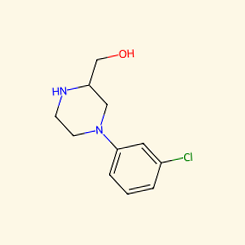 OCC1CN(c2cccc(Cl)c2)CCN1